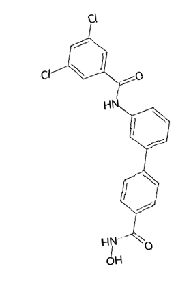 O=C(NO)c1ccc(-c2cccc(NC(=O)c3cc(Cl)cc(Cl)c3)c2)cc1